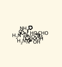 CCN(C=O)C(O)[C@H]1O[C@@H](n2cnc3c(N)nc(N(CCc4ccccc4)C(CCN)CC(N)=O)nc32)[C@H](O)[C@@H]1O